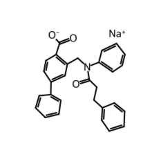 O=C([O-])c1ccc(-c2ccccc2)cc1CN(C(=O)CCc1ccccc1)c1ccccc1.[Na+]